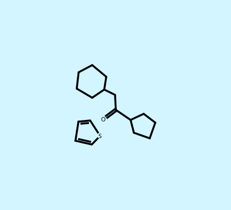 O=C(CC1CCCCC1)C1CCCC1.c1ccsc1